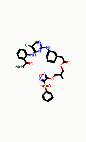 CNC(=O)c1ccccc1Nc1nc(Nc2cccc(CC(=O)OCC(C)COc3nonc3S(=O)(=O)c3ccccc3)c2)ncc1Cl